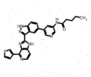 CCCCC(=O)Nc1cncc(-c2ccc3[nH]nc(-c4nc5c(-c6ccsc6)nccc5[nH]4)c3c2)c1